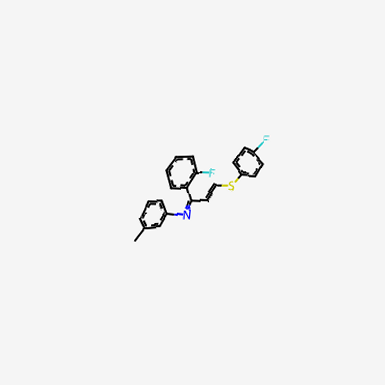 Cc1cccc(/N=C(/C=C/Sc2ccc(F)cc2)c2ccccc2F)c1